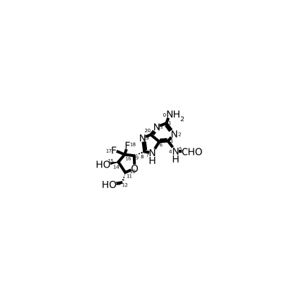 Nc1nc(NC=O)c2[nH]c([C@@H]3O[C@H](CO)[C@@H](O)C3(F)F)nc2n1